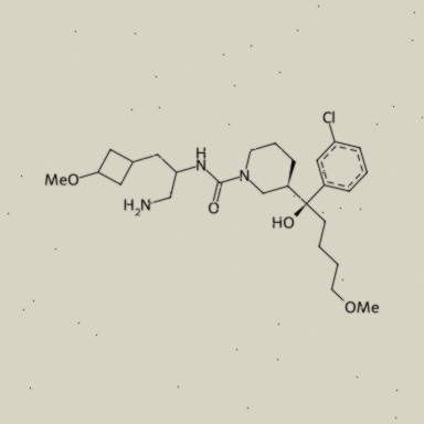 COCCCC[C@@](O)(c1cccc(Cl)c1)[C@@H]1CCCN(C(=O)NC(CN)CC2CC(OC)C2)C1